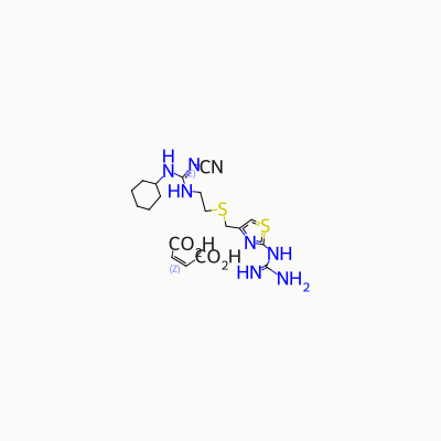 N#C/N=C(\NCCSCc1csc(NC(=N)N)n1)NC1CCCCC1.O=C(O)/C=C\C(=O)O